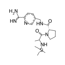 CC(N[Si](C)(C)C)C(=O)N1CCC[C@H]1C(=O)NCc1ccc(C(=N)N)nc1